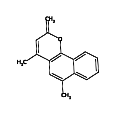 C=C1C=C(C)c2cc(C)c3ccccc3c2O1